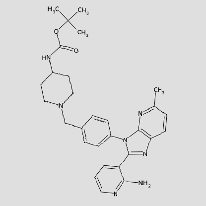 Cc1ccc2nc(-c3cccnc3N)n(-c3ccc(CN4CCC(NC(=O)OC(C)(C)C)CC4)cc3)c2n1